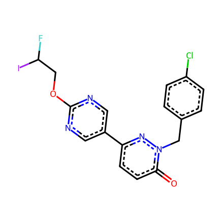 O=c1ccc(-c2cnc(OCC(F)I)nc2)nn1Cc1ccc(Cl)cc1